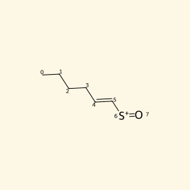 CCCCC=C[S+]=O